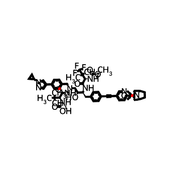 COC(=O)N[C@H](C(=O)N[C@@H](Cc1ccc(C#Cc2ccc(N3CC4CCC(C3)N4C3COC3)nc2)cc1)[C@@H](O)CN(Cc1ccc(-c2cnn(C3CC3)c2)cc1)NC(=O)[C@@H](NC(=O)O)C(C)(C)C)C(C)(C)C(F)(F)F